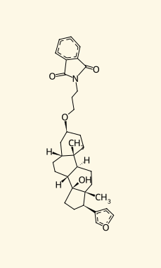 C[C@]12CC[C@H](OCCCN3C(=O)c4ccccc4C3=O)C[C@H]1CC[C@@H]1[C@@H]2CC[C@]2(C)[C@@H](c3ccoc3)CC[C@]12O